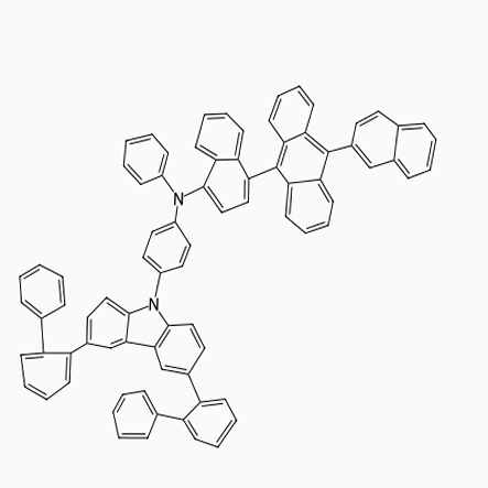 c1ccc(-c2ccccc2-c2ccc3c(c2)c2cc(-c4ccccc4-c4ccccc4)ccc2n3-c2ccc(N(c3ccccc3)c3ccc(-c4c5ccccc5c(-c5ccc6ccccc6c5)c5ccccc45)c4ccccc34)cc2)cc1